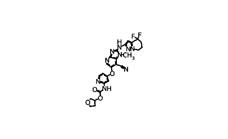 Cn1c(Nc2cc3n(n2)CCCC3(F)F)nc2ncc(Oc3ccnc(NC(=O)OC4CCOC4)c3)c(C#N)c21